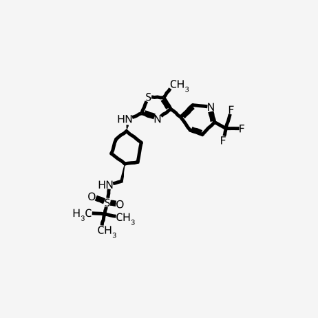 Cc1sc(N[C@H]2CC[C@H](CNS(=O)(=O)C(C)(C)C)CC2)nc1-c1ccc(C(F)(F)F)nc1